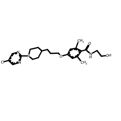 Cc1cc(OCCCC2CCN(c3ncc(Cl)cn3)CC2)cc(C)c1C(=O)NCCO